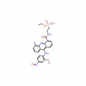 CCOP(=O)(O)CCNC(=O)c1cccc2c(Nc3ccc(N=O)cc3OC)c3cccc(C)c3nc12